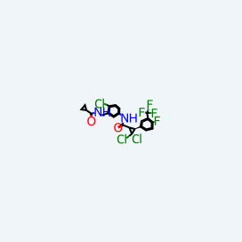 O=C(NCc1cc(NC(=O)C2[C@@H](c3ccc(F)c(C(F)(F)F)c3)C2(Cl)Cl)ccc1Cl)C1CC1